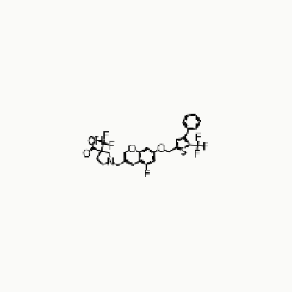 O=C(O)C1(C(F)(F)F)CCN(CC2=Cc3c(F)cc(OCc4cc(-c5ccccc5)c(C(F)(F)F)s4)cc3OC2)C1